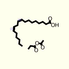 CCC(=O)OC(C)=O.CCCCC/C=C\C/C=C\CCCCCCCC(=O)O